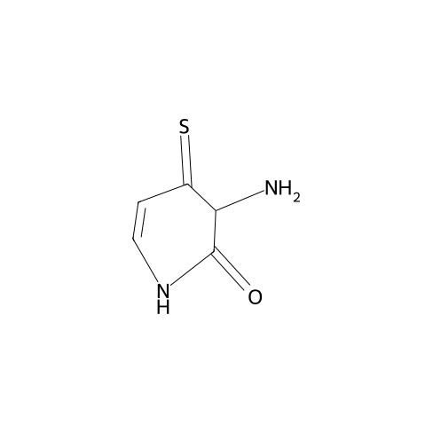 NC1C(=O)NC=CC1=S